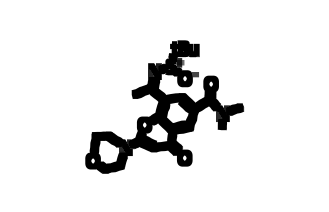 C/C(=N/[S+]([O-])C(C)(C)C)c1cc(C(=O)N(C)C)cc2c(=O)cc(N3CCOCC3)oc12